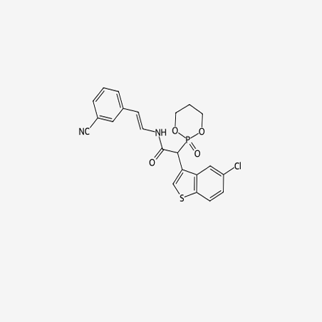 N#Cc1cccc(C=CNC(=O)C(c2csc3ccc(Cl)cc23)P2(=O)OCCCO2)c1